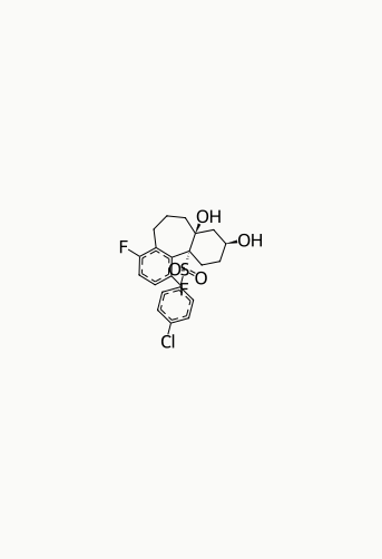 O=S(=O)(c1ccc(Cl)cc1)[C@@]12CC[C@H](O)C[C@@]1(O)CCCc1c(F)ccc(F)c12